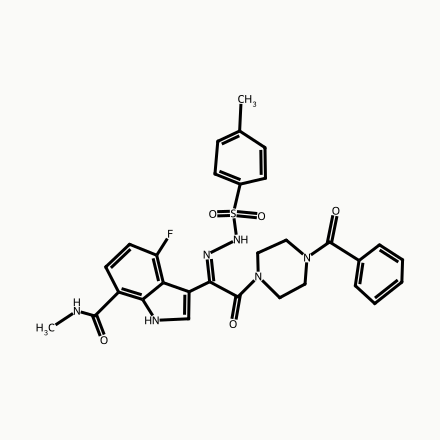 CNC(=O)c1ccc(F)c2c(C(=NNS(=O)(=O)c3ccc(C)cc3)C(=O)N3CCN(C(=O)c4ccccc4)CC3)c[nH]c12